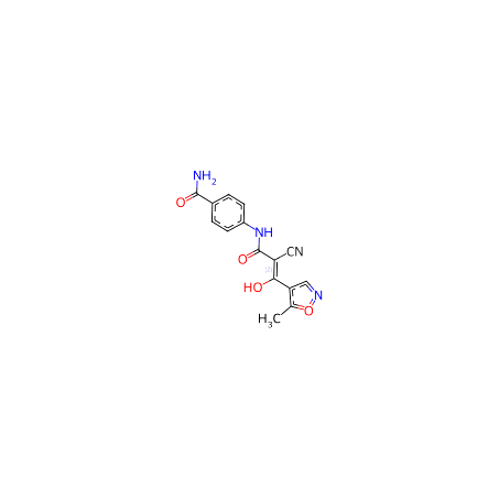 Cc1oncc1/C(O)=C(\C#N)C(=O)Nc1ccc(C(N)=O)cc1